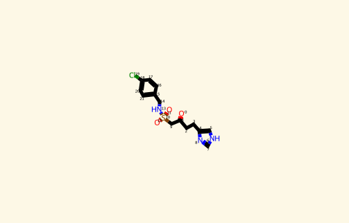 O=C(CCc1c[nH]cn1)CS(=O)(=O)NCc1ccc(Cl)cc1